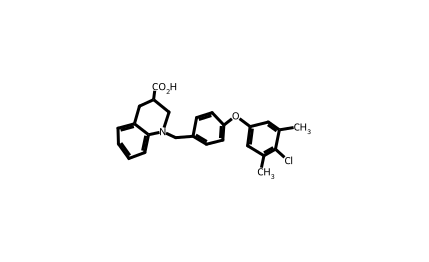 Cc1cc(Oc2ccc(CN3CC(C(=O)O)Cc4ccccc43)cc2)cc(C)c1Cl